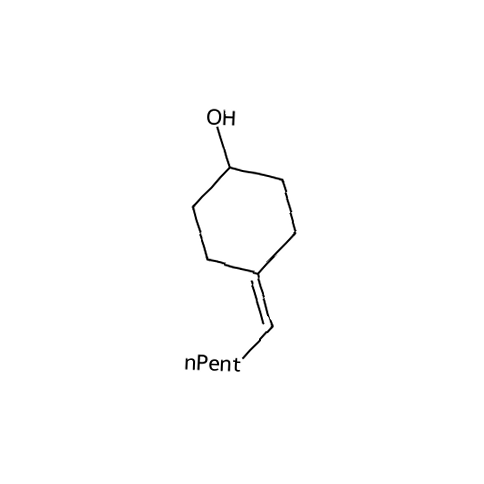 CCCCCC=C1CCC(O)CC1